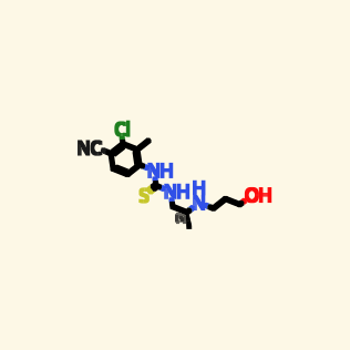 Cc1c(NC(=S)NC[C@H](C)NCCCO)ccc(C#N)c1Cl